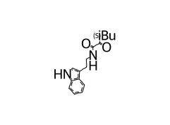 CC[C@H](C)C(=O)C(=O)NCCc1c[nH]c2ccccc12